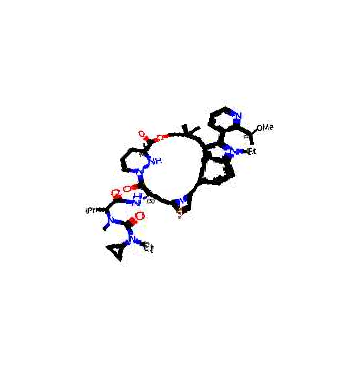 CCN(C(=O)N(C)C(C(=O)N[C@H]1Cc2nc(cs2)-c2ccc3c(c2)c(c(-c2cccnc2[C@H](C)OC)n3CC)CC(C)(C)COC(=O)[C@@H]2CCCN(N2)C1=O)C(C)C)C1CC1